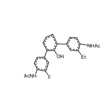 CCc1cc(-c2cccc(-c3ccc(NC(C)=O)c(F)c3)c2O)ccc1NC(C)=O